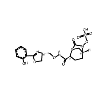 O=C(NOC[C@@H]1COC(c2ccccc2O)=N1)[C@@H]1CC[C@@H]2CN1C(=O)N2OS(=O)(=O)O